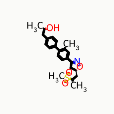 Cc1cc(C2=NO[C@@H](CC(C)S(C)(=O)=O)C2)ccc1-c1ccc(C[C@@H](C)O)cc1